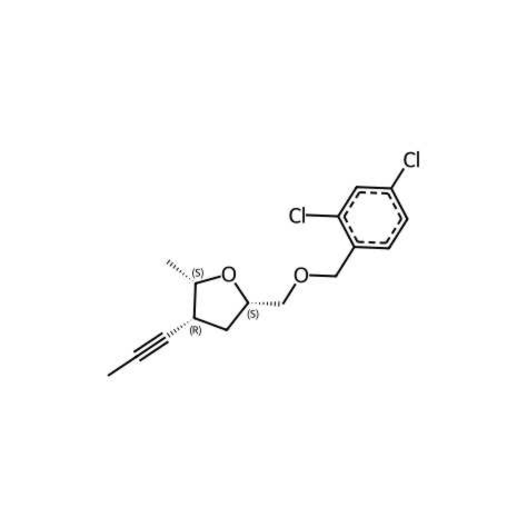 CC#C[C@H]1C[C@@H](COCc2ccc(Cl)cc2Cl)O[C@H]1C